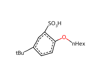 CCCCCCOc1ccc(C(C)(C)C)cc1S(=O)(=O)O